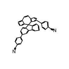 N#Cc1ccc(-c2ccc3c(c2)-c2ccccc2C32c3ccccc3C=Cc3ccc(-c4ccc(C#N)cc4)cc32)cc1